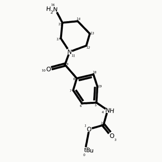 CC(C)(C)OC(=O)Nc1ccc(C(=O)N2CCCC(N)C2)cc1